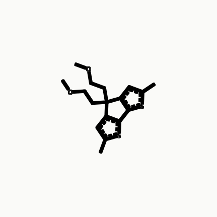 COCCC1(CCOC)c2cc(C)sc2-c2sc(C)cc21